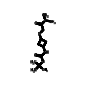 CN(C)C(=O)COC1CC(NC(=O)OC(C)(C)C)C1